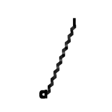 ClCCCCCCCCCCCCCCCCCCCI